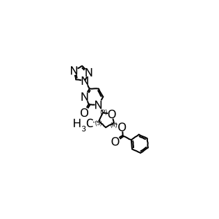 C[C@H]1C[C@@H](OC(=O)c2ccccc2)O[C@H]1n1ccc(-n2cncn2)nc1=O